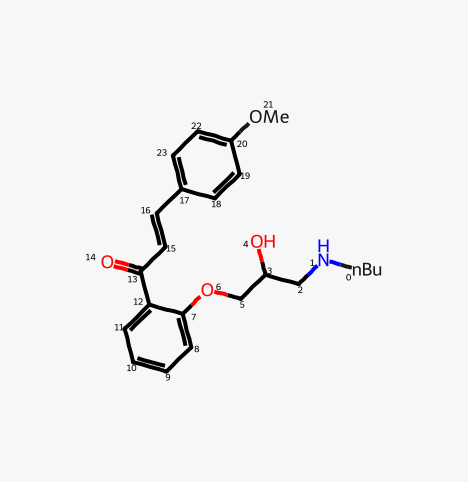 CCCCNCC(O)COc1ccccc1C(=O)/C=C/c1ccc(OC)cc1